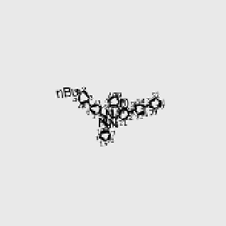 CCCCc1ccc(-c2ccc(-c3nc(-c4ccccc4)nc(-c4ccc(-c5ccc(-c6ccccc6)cc5)c5oc6ccccc6c45)n3)cc2)cc1